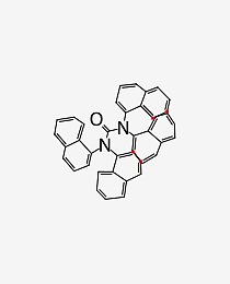 O=C(N(c1cccc2ccccc12)c1cccc2ccccc12)N(c1cccc2ccccc12)c1cccc2ccccc12